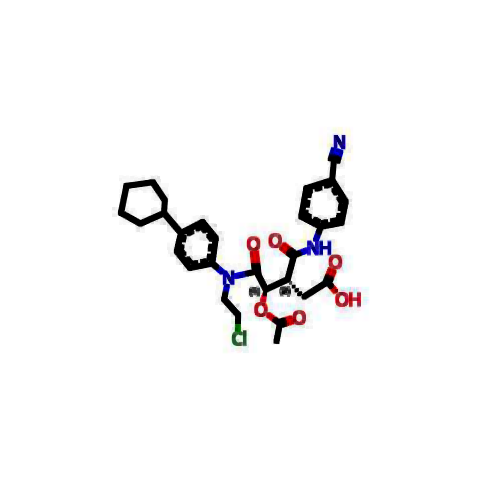 CC(=O)O[C@@H](C(=O)N(CCCl)c1ccc(C2CCCCC2)cc1)[C@@H](CC(=O)O)C(=O)Nc1ccc(C#N)cc1